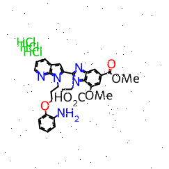 COC(=O)c1cc(OC)c2c(c1)nc(-c1cc3cccnc3n1CCCOc1ccccc1N)n2CCC(=O)O.Cl.Cl.Cl